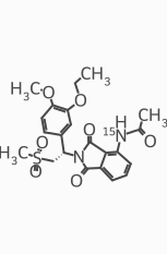 CCOc1cc([C@@H](CS(C)(=O)=O)N2C(=O)c3cccc([15NH]C(C)=O)c3C2=O)ccc1OC